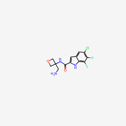 NCC1(NC(=O)c2cc3cc(Cl)c(F)c(F)c3[nH]2)COC1